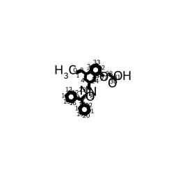 CC=CC1CC(c2noc(C(c3ccccc3)c3ccccc3)n2)Cc2c(OCC(=O)O)cccc21